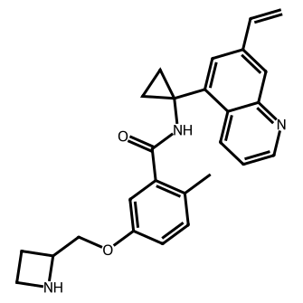 C=Cc1cc(C2(NC(=O)c3cc(OCC4CCN4)ccc3C)CC2)c2cccnc2c1